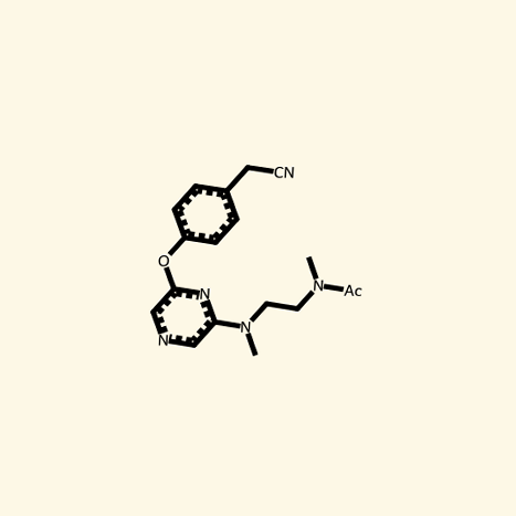 CC(=O)N(C)CCN(C)c1cncc(Oc2ccc(CC#N)cc2)n1